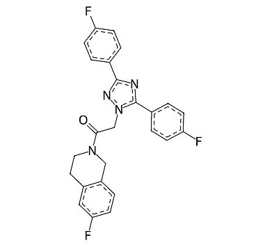 O=C(Cn1nc(-c2ccc(F)cc2)nc1-c1ccc(F)cc1)N1CCc2cc(F)ccc2C1